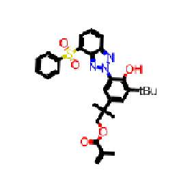 C=C(C)C(=O)OCC(C)(C)c1cc(-n2nc3cccc(S(=O)(=O)c4ccccc4)c3n2)c(O)c(C(C)(C)C)c1